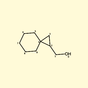 OCC1CC12CCCCC2